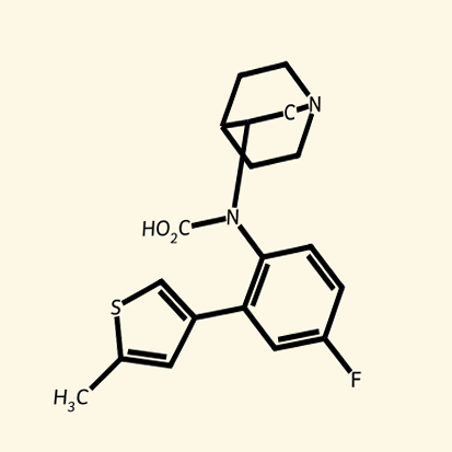 Cc1cc(-c2cc(F)ccc2N(C(=O)O)C2CN3CCC2CC3)cs1